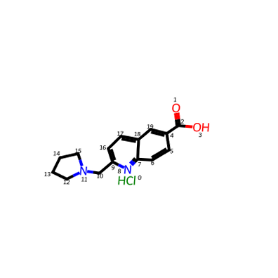 Cl.O=C(O)c1ccc2nc(CN3CCCC3)ccc2c1